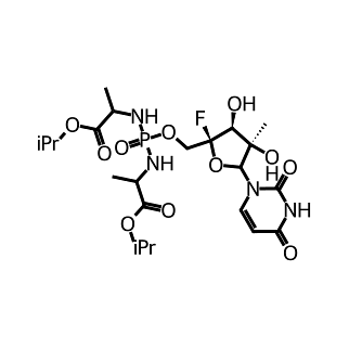 CC(C)OC(=O)C(C)NP(=O)(NC(C)C(=O)OC(C)C)OC[C@@]1(F)OC(n2ccc(=O)[nH]c2=O)[C@](C)(O)[C@@H]1O